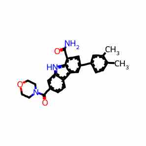 Cc1ccc(-c2cc(C(N)=O)c3[nH]c4cc(C(=O)N5CCOCC5)ccc4c3c2)cc1C